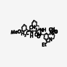 CCc1cn2c3c(cc(C(=O)N[C@@H](Cc4ccccc4)[C@H](O)CNC(C)(C)c4cccc(OC)c4)cc13)N(C)S(=O)(=O)CC2